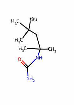 CC(C)(CC(C)(C)C(C)(C)C)NC(N)=O